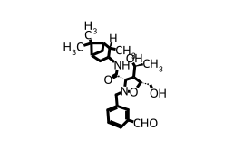 C[C@@H]1C(NC(=O)[C@@H]2C([C@H](C)O)[C@H](CO)ON2Cc2cccc(C=O)c2)CC2CC1C2(C)C